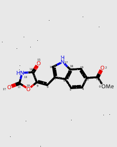 COC(=O)c1ccc2c(C=C3OC(=O)NC3=O)c[nH]c2c1